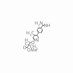 COC(=O)C(C)(C)COc1cc(C)c(-c2ccc(C(=N)N)cc2)cn1